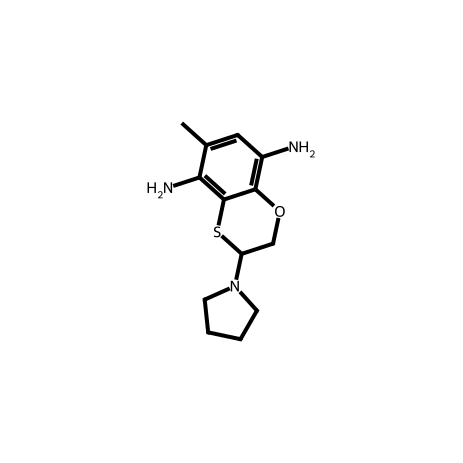 Cc1cc(N)c2c(c1N)SC(N1CCCC1)CO2